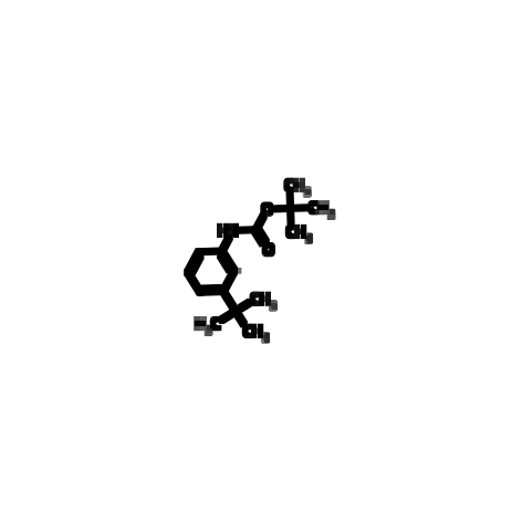 CC(C)(C)OC(=O)Nc1[c]c(C(C)(C)C)ccc1